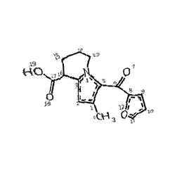 Cc1cc2n(c1C(=O)c1ccco1)CCCC2C(=O)O